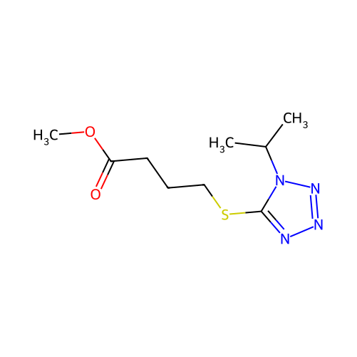 COC(=O)CCCSc1nnnn1C(C)C